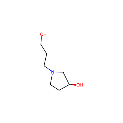 OCCCN1CC[C@H](O)C1